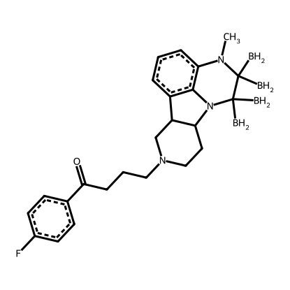 BC1(B)N(C)c2cccc3c2N(C2CCN(CCCC(=O)c4ccc(F)cc4)CC32)C1(B)B